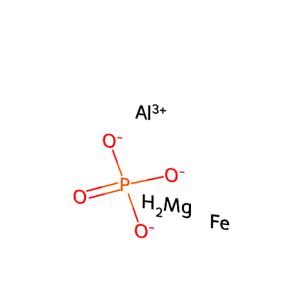 O=P([O-])([O-])[O-].[Al+3].[Fe].[MgH2]